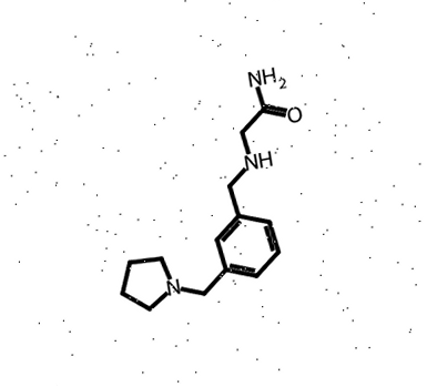 NC(=O)CNCc1cccc(CN2CCCC2)c1